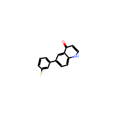 O=c1cc[nH]c2ccc(-c3cccc(F)c3)cc12